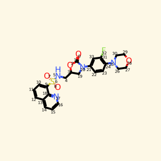 O=C1OC(CNS(=O)(=O)c2cccc3cccnc23)CN1c1ccc(N2CCOCC2)c(F)c1